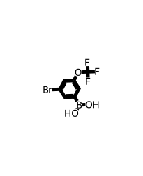 OB(O)c1cc(Br)cc(OC(F)(F)F)c1